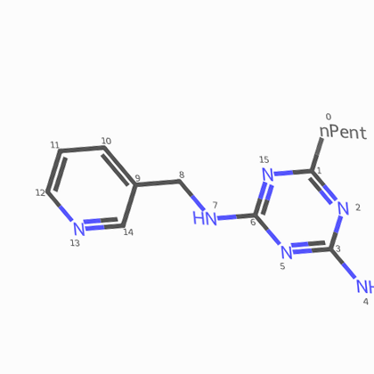 CCCCCc1nc(N)nc(NCc2cccnc2)n1